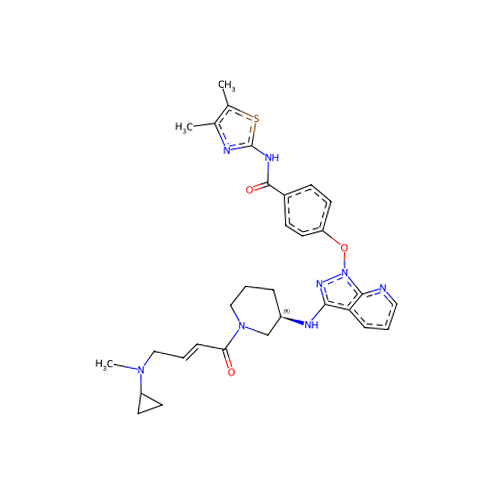 Cc1nc(NC(=O)c2ccc(On3nc(N[C@@H]4CCCN(C(=O)C=CCN(C)C5CC5)C4)c4cccnc43)cc2)sc1C